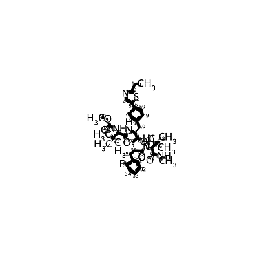 CCc1ncc(-c2ccc(C[C@H](NC(=O)[C@@H](NC(=O)OC)C(C)(C)C)[C@@H](O)C[C@@H](Cc3ccccc3F)C(=O)N[C@H](C(=O)NC)C(C)(C)C)cc2)s1